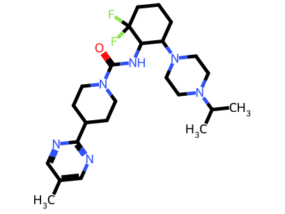 Cc1cnc(C2CCN(C(=O)NC3C(N4CCN(C(C)C)CC4)CCCC3(F)F)CC2)nc1